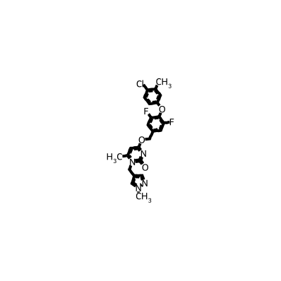 Cc1cc(Oc2c(F)cc(COc3cc(C)n(Cc4cnn(C)c4)c(=O)n3)cc2F)ccc1Cl